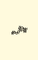 CC1=NN=C(Nc2ccc3ncnc(Nc4ccc(Oc5ccn6ccnc6c5)c(C)c4)c3c2)C1